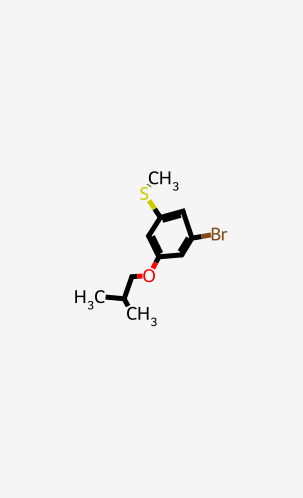 CSc1cc(Br)cc(OCC(C)C)c1